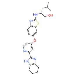 CC(C)C[C@H](CO)Nc1nc2ccc(Oc3ccnc(-c4nc5c([nH]4)CCCC5)c3)cc2s1